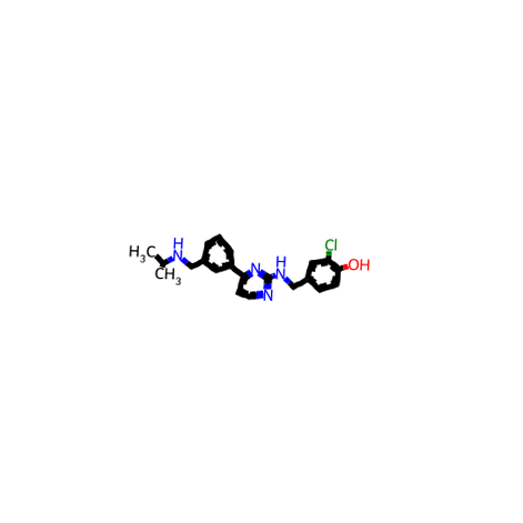 CC(C)NCc1cccc(-c2ccnc(NCc3ccc(O)c(Cl)c3)n2)c1